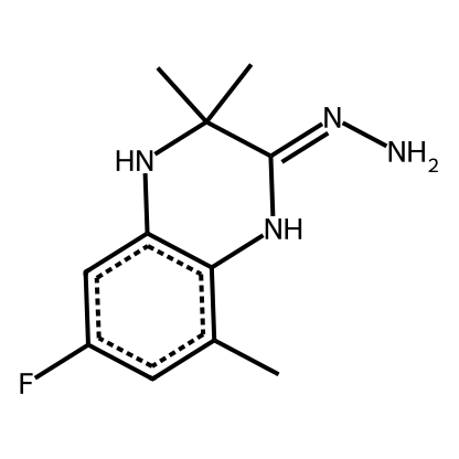 Cc1cc(F)cc2c1NC(=NN)C(C)(C)N2